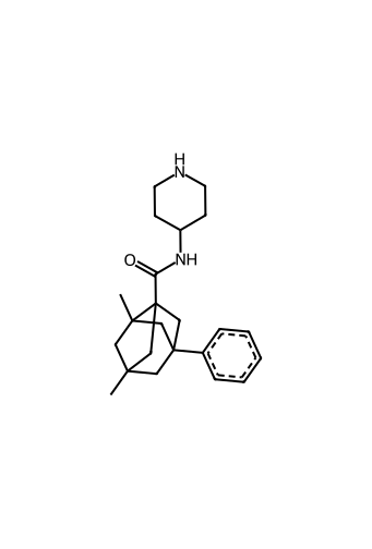 CC12CC3(c4ccccc4)CC(C)(C1)C(C(=O)NC1CCNCC1)(C2)C3